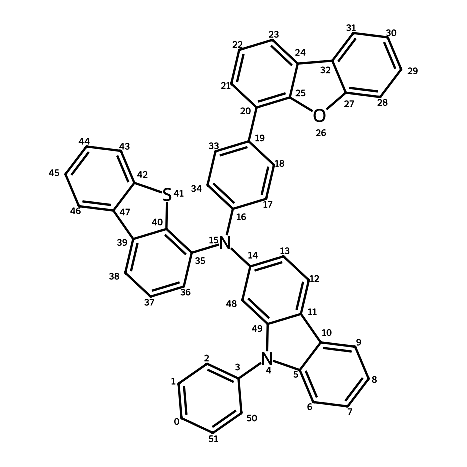 c1ccc(-n2c3ccccc3c3ccc(N(c4ccc(-c5cccc6c5oc5ccccc56)cc4)c4cccc5c4sc4ccccc45)cc32)cc1